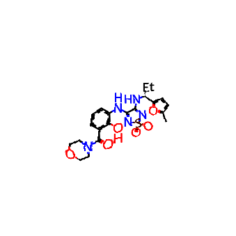 CC[C@@H](NC1=NS(=O)(=O)N=C1Nc1cccc(C(=O)N2CCOCC2)c1O)c1ccc(C)o1